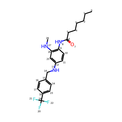 CCCCCCC(=O)Nc1ccc(NCc2ccc(C(F)(F)F)cc2)cc1NC